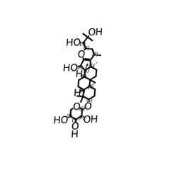 C[C@@H]1C[C@H]([C@H](O)C(C)(C)O)OC2=C1[C@@]1(C)CCC34C[C@@]35CC[C@H](O[C@@H]3OC[C@H](O)[C@H](O)[C@H]3O)C(C)(C)[C@@H]5CC[C@H]4[C@]1(C)[C@H]2O